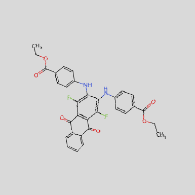 CCOC(=O)c1ccc(Nc2c(F)c3c(c(F)c2Nc2ccc(C(=O)OCC)cc2)C(=O)c2ccccc2C3=O)cc1